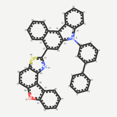 c1ccc(-c2cccc(-n3c4ccccc4c4c5ccccc5c(-c5nc6c(ccc7oc8ccccc8c76)s5)cc43)c2)cc1